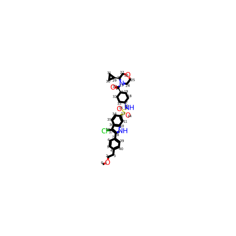 COCCc1ccc(-c2[nH]c3cc(S(=O)(=O)N[C@H]4CC[C@H](C(=O)N5CCOC[C@@H]5C5CC5)CC4)ccc3c2Cl)cc1